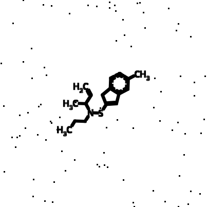 C=CC(C)N(CCC)SC1=Cc2cc(C)ccc2C1